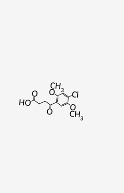 COc1cc(C(=O)CCC(=O)O)c(OC)cc1Cl